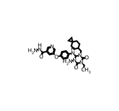 CCN1C(=O)N(N)C(Nc2ccc(Oc3cncc(C(=O)NN)c3)cc2)N(CC2CCC3(CC2)CC3)C1=O